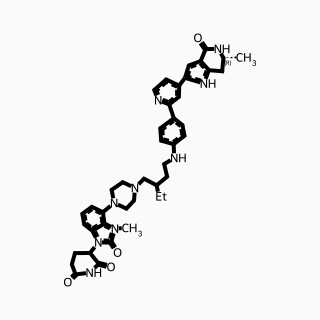 CCC(CCNc1ccc(-c2cc(-c3cc4c([nH]3)C[C@@H](C)NC4=O)ccn2)cc1)CN1CCN(c2cccc3c2n(C)c(=O)n3C2CCC(=O)NC2=O)CC1